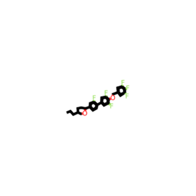 CCCC1CCC(c2ccc(-c3cc(F)c(OCc4cc(F)c(F)c(F)c4)c(F)c3)c(F)c2)OC1